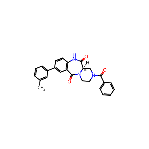 O=C1Nc2ccc(-c3cccc(C(F)(F)F)c3)cc2C(=O)N2CCN(C(=O)c3ccccc3)C[C@H]12